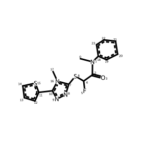 CN(C(=O)C(F)Sc1nnc(-c2cccs2)n1C)c1ccccc1